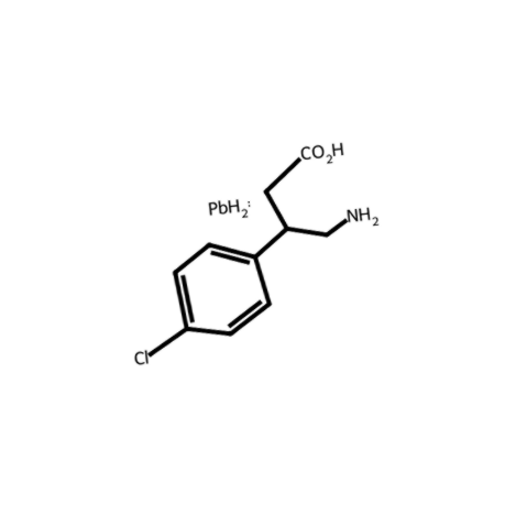 NCC(CC(=O)O)c1ccc(Cl)cc1.[PbH2]